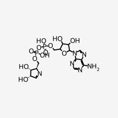 Nc1ncnc2c1ncn2C1OC(COP(=O)(O)OP(=O)(O)OC[C@H]2N=C[C@H](O)[C@@H]2O)C(O)C1O